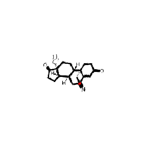 C[C@]12CC[C@H]3[C@@H](CCC4=CC(=O)CC[C@@]43CC#N)[C@@H]1CCC2=O